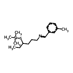 CCC(CCCN=Cc1cccc(C)c1)S[Si](C)(C)C